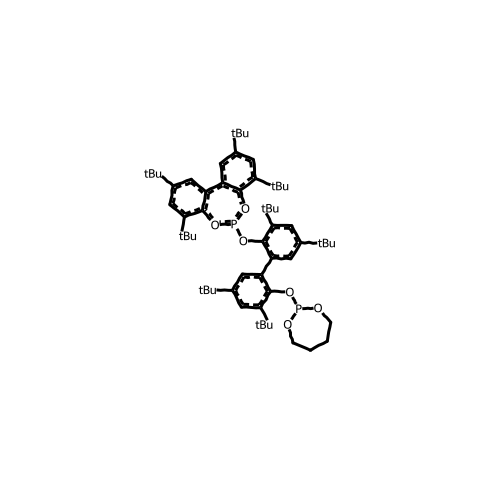 CC(C)(C)c1cc(-c2cc(C(C)(C)C)cc(C(C)(C)C)c2Op2oc3c(C(C)(C)C)cc(C(C)(C)C)cc3c3cc(C(C)(C)C)cc(C(C)(C)C)c3o2)c(OP2OCCCCO2)c(C(C)(C)C)c1